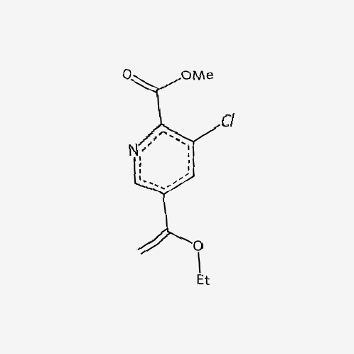 C=C(OCC)c1cnc(C(=O)OC)c(Cl)c1